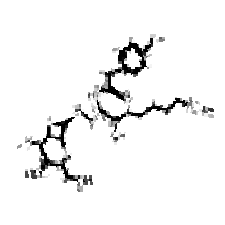 CCCCCCCCCCCCCCC[C@@H](O)[C@H](COC1OC2C(O)C(O)C(CO)OC12)NC(=O)Cc1ccc(F)cc1